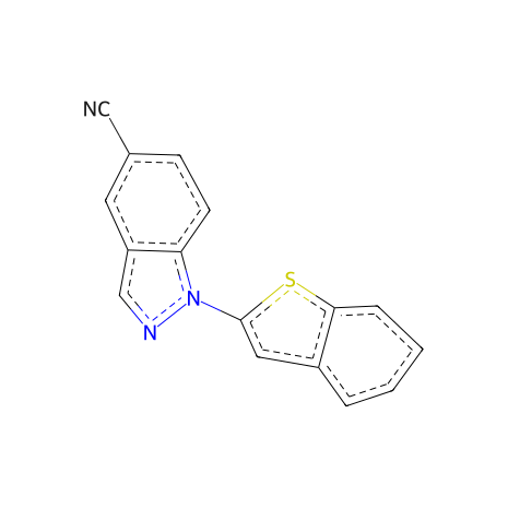 N#Cc1ccc2c(cnn2-c2cc3ccccc3s2)c1